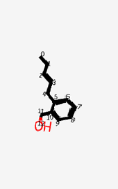 CCC=CCc1ccccc1CO